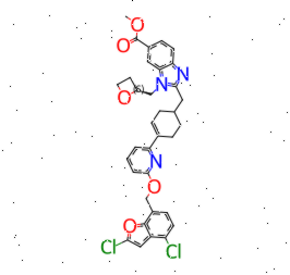 COC(=O)c1ccc2nc(CC3CC=C(c4cccc(OCc5ccc(Cl)c6cc(Cl)oc56)n4)CC3)n(C[C@@H]3CCO3)c2c1